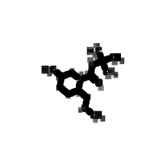 COCC1CCC(C)CN1C(=O)OC(C)(C)C